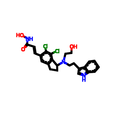 O=C(C=Cc1cc2c(c(Cl)c1Cl)C(N(CCO)CCc1c[nH]c3ccccc13)CC2)NO